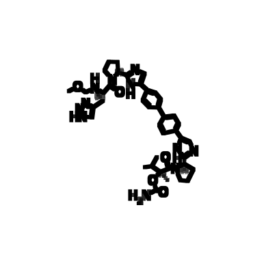 COCN[C@@H](Cc1c[nH]nn1)C(=O)N1CCC[C@H]1c1ncc(-c2ccc(-c3ccc(-c4cnc([C@@H]5CCCN5C(=O)[C@@](C)(OC(N)=O)C(C)C)[nH]4)cc3)cc2)[nH]1